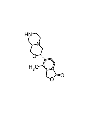 Cc1c([C@H]2CN3CCNCC3CO2)ccc2c1COC2=O